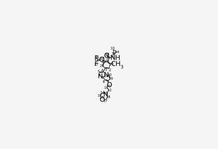 Cc1cc(-c2cnc3cc(OCCN4CCOCC4)ccn23)cc(OC(F)F)c1C(=O)NC1CC1